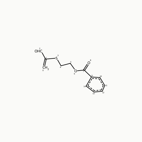 C=C(C=O)SCCOC(=O)c1ccccc1